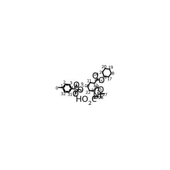 Cc1ccc(S(=O)(=O)OC[C@H](CCC(=O)OC2CCCCC2)CC2COC(C)(C)N2C(=O)O)cc1